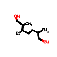 CCC(CCC(C)CO)C(C)CO